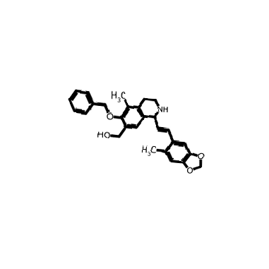 Cc1cc2c(cc1/C=C/C1NCCc3c1cc(CO)c(OCc1ccccc1)c3C)OCO2